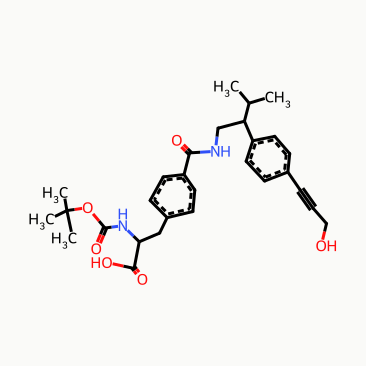 CC(C)C(CNC(=O)c1ccc(CC(NC(=O)OC(C)(C)C)C(=O)O)cc1)c1ccc(C#CCO)cc1